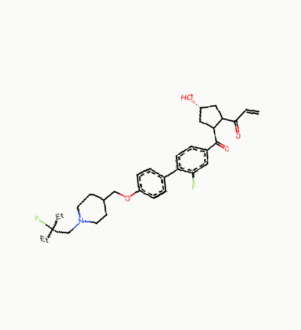 C=CC(=O)C1C[C@@H](O)CC1C(=O)c1ccc(-c2ccc(OCC3CCN(CC(F)(CC)CC)CC3)cc2)c(F)c1